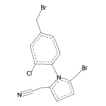 N#Cc1ccc(Br)n1-c1ccc(CBr)cc1Cl